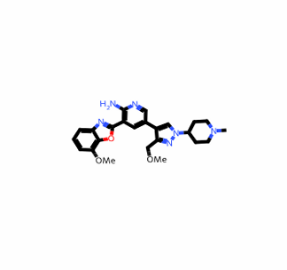 COCc1nn(C2CCN(C)CC2)cc1-c1cnc(N)c(-c2nc3cccc(OC)c3o2)c1